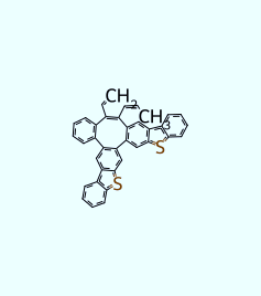 C=C/C1=C(\C=C/C)c2cc3c(cc2-c2cc4sc5ccccc5c4cc2-c2ccccc21)sc1ccccc13